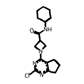 O=C(NC1CCCCC1)C1CN(c2nc(Cl)nc3c2CCC3)C1